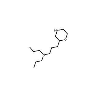 CCCN(CCC)CCCC1CNCCO1